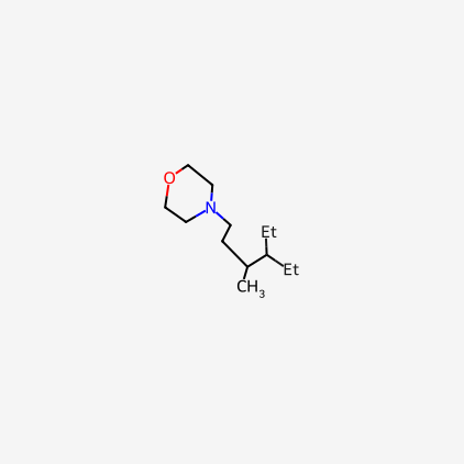 CCC(CC)C(C)CCN1CCOCC1